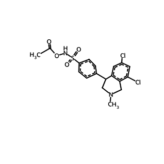 CC(=O)ONS(=O)(=O)c1ccc(C2CN(C)Cc3c(Cl)cc(Cl)cc32)cc1